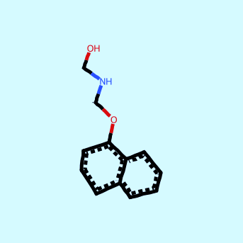 OCN[CH]Oc1cccc2ccccc12